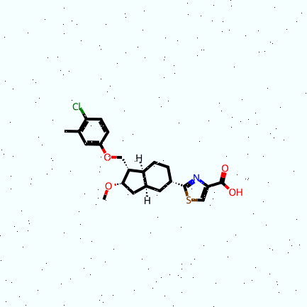 CO[C@H]1C[C@@H]2C[C@@H](c3nc(C(=O)O)cs3)CC[C@@H]2[C@H]1COc1ccc(Cl)c(C)c1